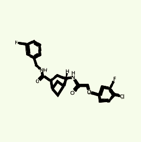 O=C(COc1ccc(Cl)c(F)c1)N[C@H]1CC(C(=O)NCc2cccc(F)c2)C2CC1C2